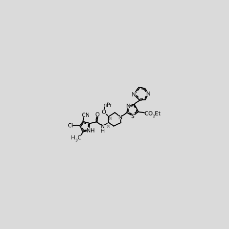 CCCO[C@H]1CN(c2nc(-c3cnccn3)c(C(=O)OCC)s2)CC[C@H]1NC(=O)c1[nH]c(C)c(Cl)c1C#N